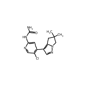 CC1(C)Cc2c(-c3cc(NC(N)=O)ncc3Cl)cnn2C1